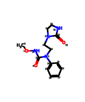 CONC(=O)N(CCN1CCNC1=O)c1ccccc1